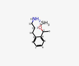 CC(O[SiH3])c1ccccc1CCCN